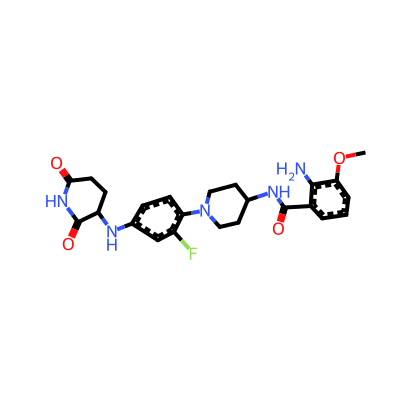 COc1cccc(C(=O)NC2CCN(c3ccc(NC4CCC(=O)NC4=O)cc3F)CC2)c1N